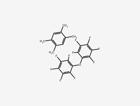 Cc1cc(C)c(C)cc1C.Fc1c(F)c(F)c(Oc2c(F)c(F)c(F)c(F)c2F)c(F)c1F